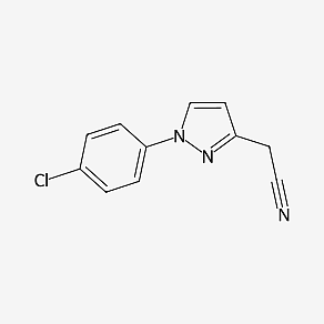 N#CCc1ccn(-c2ccc(Cl)cc2)n1